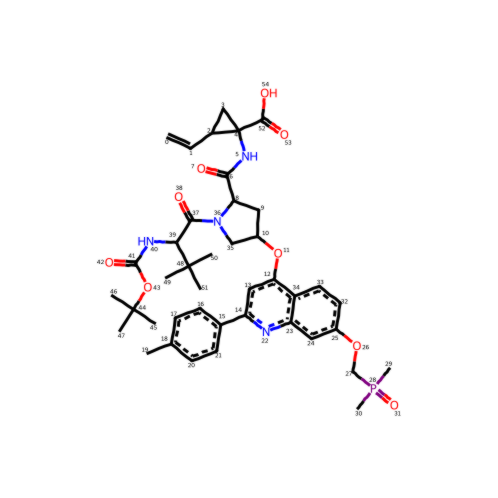 C=CC1CC1(NC(=O)C1CC(Oc2cc(-c3ccc(C)cc3)nc3cc(OCP(C)(C)=O)ccc23)CN1C(=O)C(NC(=O)OC(C)(C)C)C(C)(C)C)C(=O)O